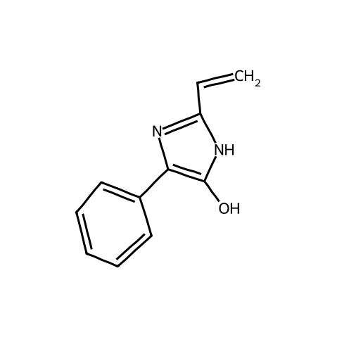 C=Cc1nc(-c2ccccc2)c(O)[nH]1